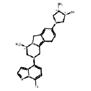 C[C@@H]1CN(c2ccc(C#N)n3nccc23)CC2=C3CC=C(N4C[C@H](N)[C@@H](O)C4)C=C3CN21